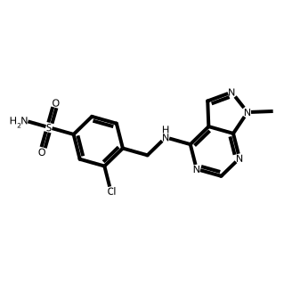 Cn1ncc2c(NCc3ccc(S(N)(=O)=O)cc3Cl)ncnc21